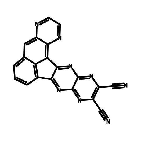 N#Cc1nc2nc3c(nc2nc1C#N)-c1c2nccnc2cc2cccc-3c12